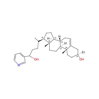 CC[C@]1(O)CC[C@@]2(C)C(=CC[C@H]3[C@@H]4CC[C@H](C(C)CCC(O)c5cccnc5)[C@@]4(C)CC[C@@H]32)C1